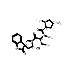 CN1C[C@H](C(F)(F)F)C[C@H]1C(=O)N(C)[C@@H](CC(C)(C)C)C(=O)N1C[C@]2(C[C@H]1C#N)C(=O)Nc1ccccc12